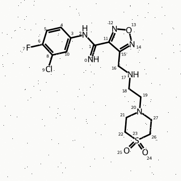 N=C(Nc1ccc(F)c(Cl)c1)c1nonc1CNCCN1CCS(=O)(=O)CC1